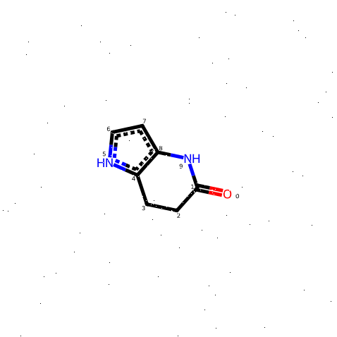 O=C1CCc2[nH]ccc2N1